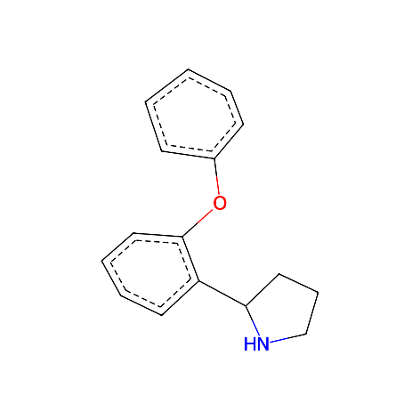 c1ccc(Oc2ccccc2C2CCCN2)cc1